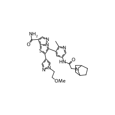 COCCn1cc(-c2sc3c(C(N)=O)cnn3c2-c2cc(NC(=O)CN3C4CCC3CC4)cnc2C)cn1